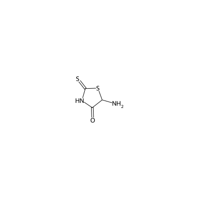 NC1SC(=S)NC1=O